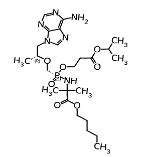 CCCCCOC(=O)C(C)(C)N[P@](=O)(CO[C@H](C)Cn1cnc2c(N)ncnc21)OCCC(=O)OC(C)C